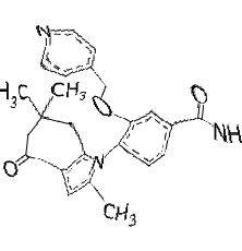 Cc1cc2c(n1-c1ccc(C(N)=O)cc1OCc1ccncc1)CC(C)(C)CC2=O